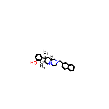 C[C@H]1CN2CCN(Cc3ccc4ccccc4c3)C[C@H]2C[C@@]1(C)c1cccc(O)c1